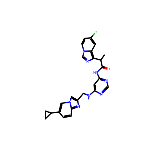 CC(C(=O)Nc1cc(NCc2cn3cc(C4CC4)ccc3n2)ncn1)c1ncn2ccc(Cl)cc12